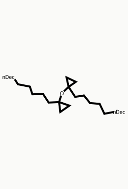 CCCCCCCCCCCCCCCC1(OC2(CCCCCCCCCCCCCCC)CC2)CC1